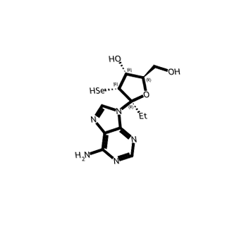 CC[C@@]1(n2cnc3c(N)ncnc32)O[C@H](CO)[C@@H](O)[C@H]1[SeH]